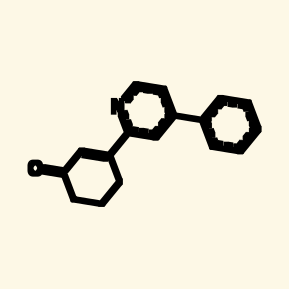 O=C1C=C(c2cc(-c3ccccc3)ccn2)CCC1